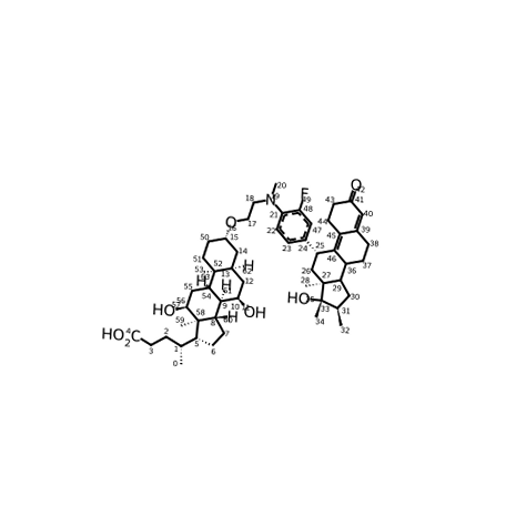 C[C@H](CCC(=O)O)[C@H]1CC[C@H]2[C@@H]3[C@H](O)C[C@@H]4C[C@@H](OCCN(C)c5ccc([C@H]6C[C@@]7(C)C(C[C@@H](C)[C@]7(C)O)C7CCC8=CC(=O)CCC8=C76)cc5F)CC[C@]4(C)[C@H]3C[C@H](O)[C@]12C